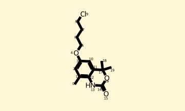 Cc1cc(OCCCCCl)cc2c1NC(=O)OC2(C)C